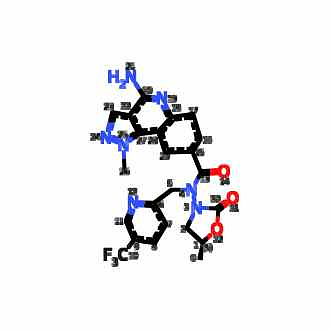 C[C@H]1CN(N(Cc2ccc(C(F)(F)F)cn2)C(=O)c2ccc3nc(N)c4cnn(C)c4c3c2)C(=O)O1